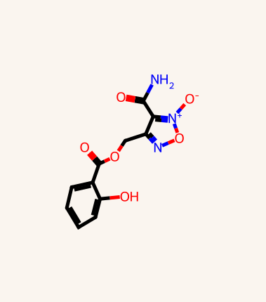 NC(=O)c1c(COC(=O)c2ccccc2O)no[n+]1[O-]